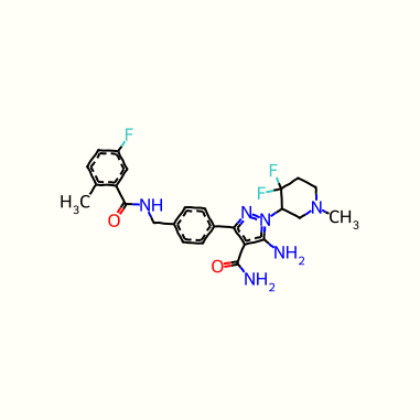 Cc1ccc(F)cc1C(=O)NCc1ccc(-c2nn(C3CN(C)CCC3(F)F)c(N)c2C(N)=O)cc1